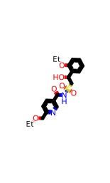 CCOCc1ccc(C(=O)NS(=O)(=O)CC(O)c2ccccc2OCC)cn1